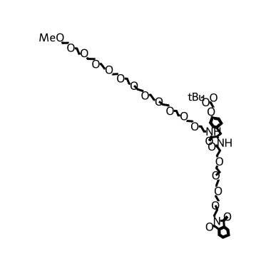 COCCOCCOCCOCCOCCOCCOCCOCCOCCOCCOCCOCCNC(=O)C(Cc1ccc(OCC(=O)OC(C)(C)C)cc1)NC(=O)CCOCCOCCOCCOCCN1C(=O)c2ccccc2C1=O